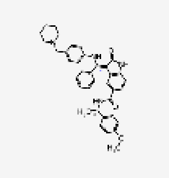 COc1ccc([C@@H](C)NC(=O)c2ccc3c(c2)/C(=C(/Nc2ccc(CN4CCCCC4)cc2)c2ccccc2)C(=O)N3)cc1